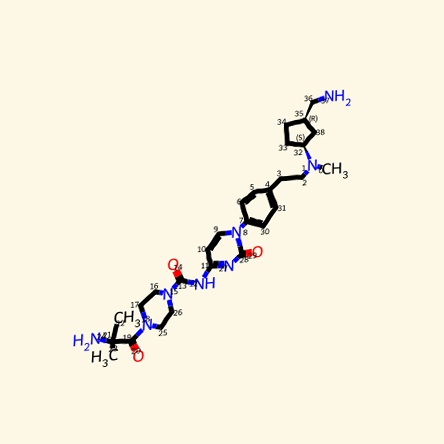 CN(CCc1ccc(-n2ccc(NC(=O)N3CCN(C(=O)C(C)(C)N)CC3)nc2=O)cc1)[C@H]1CC[C@@H](CN)C1